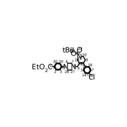 CCOC(=O)c1ccc(N2CCN(CC3=C(c4ccc(Cl)cc4)CCN(C(=O)OC(C)(C)C)C3)CC2)cc1